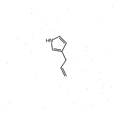 [CH]=CCc1cc[nH]c1